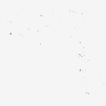 CN1CCN(C(=O)c2ccc(-c3[nH]nc4c3C(=O)c3c(NC(=O)NC5CNCCO5)cccc3-4)s2)CC1